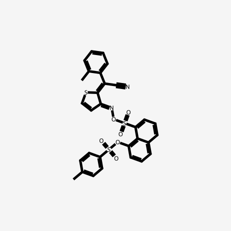 Cc1ccc(S(=O)(=O)Oc2cccc3cccc(S(=O)(=O)ON=C4C=CSC4=C(C#N)c4ccccc4C)c23)cc1